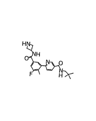 Cc1c(F)cc(C(=O)NC2CNC2)cc1-c1ccc(C(=O)NCC(C)(C)C)cn1